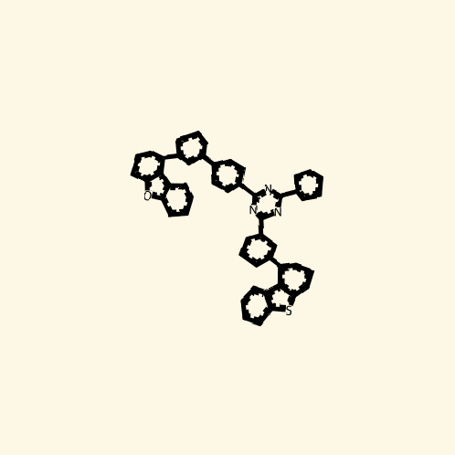 c1ccc(-c2nc(-c3ccc(-c4cccc(-c5cccc6oc7ccccc7c56)c4)cc3)nc(-c3cccc(-c4cccc5sc6ccccc6c45)c3)n2)cc1